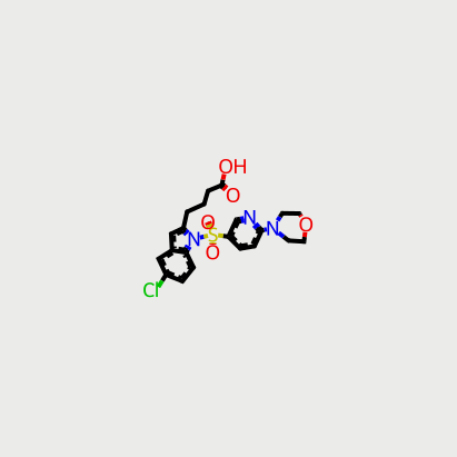 O=C(O)CCCc1cc2cc(Cl)ccc2n1S(=O)(=O)c1ccc(N2CCOCC2)nc1